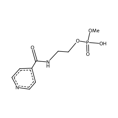 COP(=O)(O)OCCNC(=O)c1ccncc1